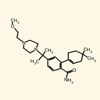 COCCN1CCN(C(C)(C)c2ccc(C(N)=O)c(C3=CCC(C)(C)CC3)c2)CC1